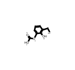 O=C(O)Oc1cccc(CI)c1O